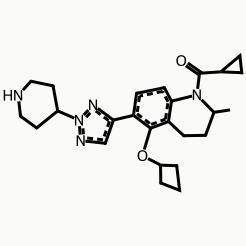 CC1CCc2c(ccc(-c3cnn(C4CCNCC4)n3)c2OC2CCC2)N1C(=O)C1CC1